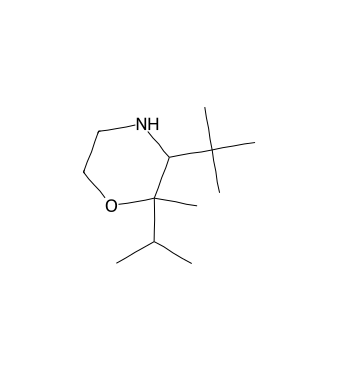 CC(C)C1(C)OCCNC1C(C)(C)C